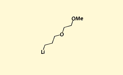 [Li][CH2]CCOCCOC